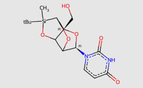 CC(C)(C)[Si]1(C)OC2C3OC1[C@]2(CO)O[C@H]3n1ccc(=O)[nH]c1=O